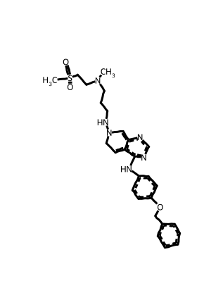 CN(CCCNN1C=c2ncnc(Nc3ccc(OCc4ccccc4)cc3)c2=CC1)CCS(C)(=O)=O